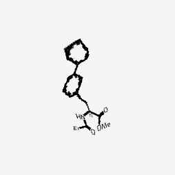 CCC(=O)N[C@@H](Cc1cccc(-c2ccccc2)c1)C(=O)OC